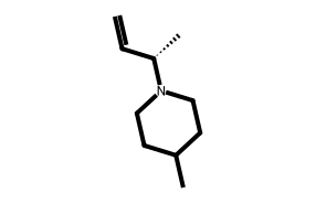 C=C[C@H](C)N1CCC(C)CC1